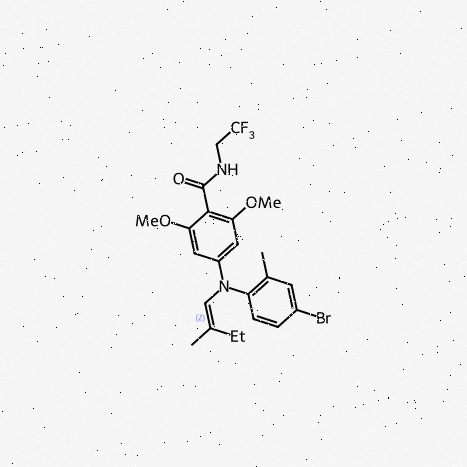 CC/C(C)=C\N(c1cc(OC)c(C(=O)NCC(F)(F)F)c(OC)c1)c1ccc(Br)cc1C